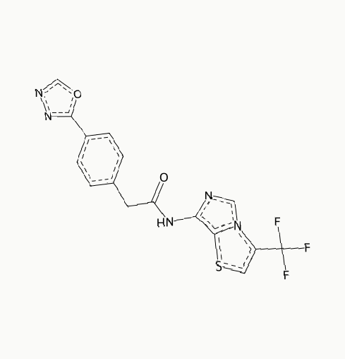 O=C(Cc1ccc(-c2nnco2)cc1)Nc1ncn2c(C(F)(F)F)csc12